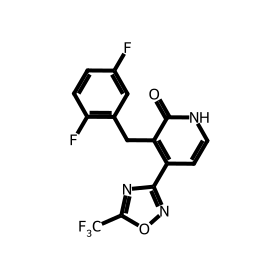 O=c1[nH]ccc(-c2noc(C(F)(F)F)n2)c1Cc1cc(F)ccc1F